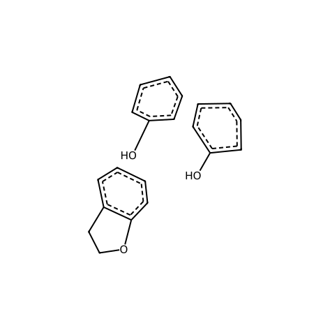 Oc1ccccc1.Oc1ccccc1.c1ccc2c(c1)CCO2